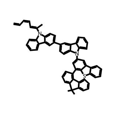 C=C/C=C\C=C(/C)n1c2ccccc2c2cc(-c3ccc4c(c3)c3ccccc3n4-c3cc(-c4cccc5c4-c4ccccc4C5(C)C)c4sc5ccccc5c4c3)ccc21